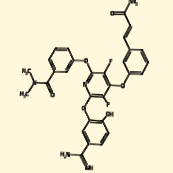 CN(C)C(=O)c1cccc(Oc2nc(Oc3cc(C(=N)N)ccc3O)c(F)c(Oc3cccc(C=CC(N)=O)c3)c2F)c1